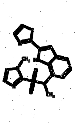 CC(c1cccc2cc(-c3nccs3)[nH]c12)S(=O)(=O)c1nccn1C